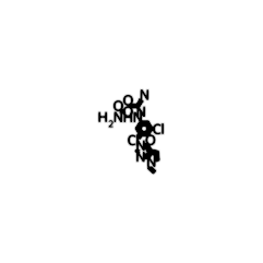 CCn1ccc2c(Oc3c(Cl)cc(NN=C(C#N)C(=O)OC(N)=O)cc3Cl)ncnc21